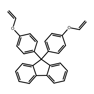 C=COc1ccc(C2(c3ccc(OC=C)cc3)c3ccccc3-c3ccccc32)cc1